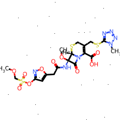 COCS(=O)(=O)Oc1cc(CC(=O)N[C@]2(OC)C(=O)N3C(C(=O)O)=C(CSc4nnnn4C)CS[C@H]32)on1